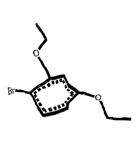 CCOc1ccc(Br)c(OCC)c1